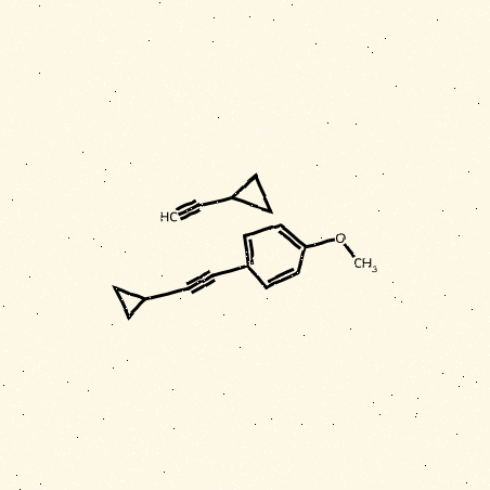 C#CC1CC1.COc1ccc(C#CC2CC2)cc1